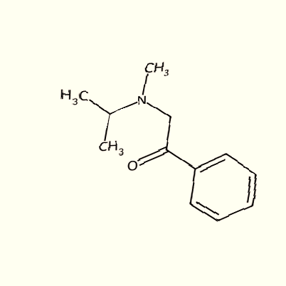 CC(C)N(C)CC(=O)c1ccccc1